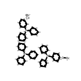 CC(=O)[O-].[Co].[Rh+].c1ccc(P(c2ccccc2)c2ccccc2)cc1.c1ccc(P(c2ccccc2)c2ccccc2)cc1.c1ccc(P(c2ccccc2)c2ccccc2)cc1